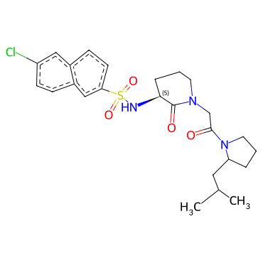 CC(C)CC1CCCN1C(=O)CN1CCC[C@H](NS(=O)(=O)c2ccc3cc(Cl)ccc3c2)C1=O